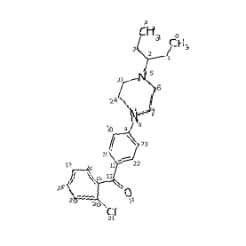 CCC(CC)N1CCN(c2ccc(C(=O)c3ccccc3Cl)cc2)CC1